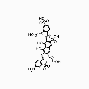 Nc1ccc(/N=N/c2c(SOOO)cc3cc(S(=O)(=O)O)c(/N=N/c4ccc(S(=O)(=O)O)cc4SOOO)c(O)c3c2O)c(S(=O)(=O)O)c1